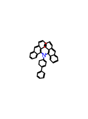 C1=C(c2ccccc2)CCC(N(c2c3ccccc3cc3ccccc23)c2c3ccccc3cc3ccccc23)=C1